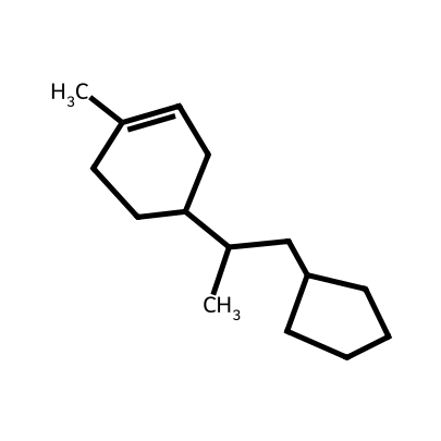 CC1=CCC(C(C)CC2CCCC2)CC1